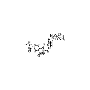 CC(C)(C)OC(=O)NNC1CCCN(c2ccc(C(=O)C3CC3)cc2[N+](=O)[O-])C1